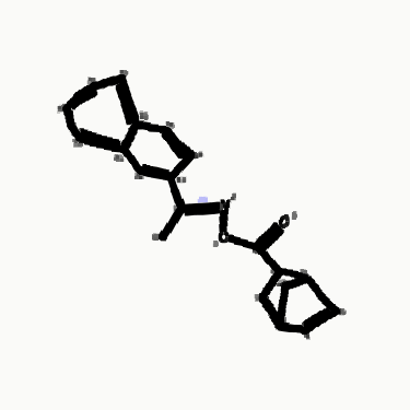 C/C(=N\OC(=O)C1CC2C=CC1C2)c1ccc2ccccc2c1